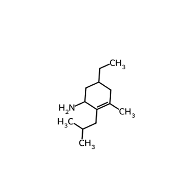 CCC1CC(C)=C(CC(C)C)C(N)C1